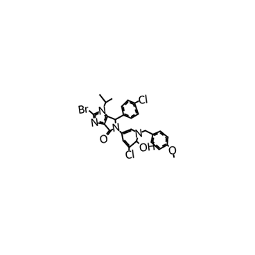 COc1ccc(CN2C=C(N3C(=O)c4nc(Br)n(C(C)C)c4C3c3ccc(Cl)cc3)C=C(Cl)C2O)cc1